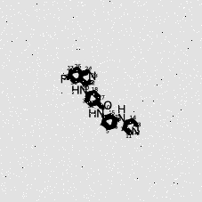 O=C(Nc1cccc(Nc2ccncc2)c1)c1ccc(Nc2cncc3ccc(F)cc23)cc1